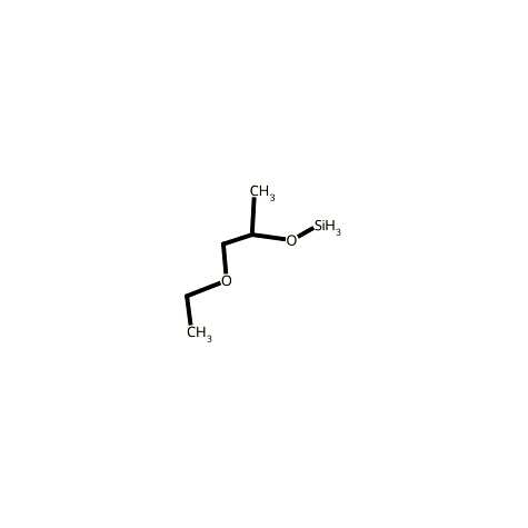 CCOCC(C)O[SiH3]